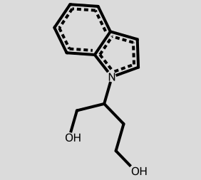 OCCC(CO)n1ccc2ccccc21